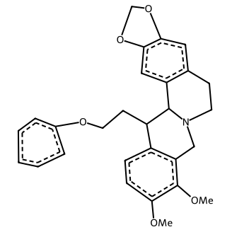 COc1ccc2c(c1OC)CN1CCc3cc4c(cc3C1C2CCOc1ccccc1)OCO4